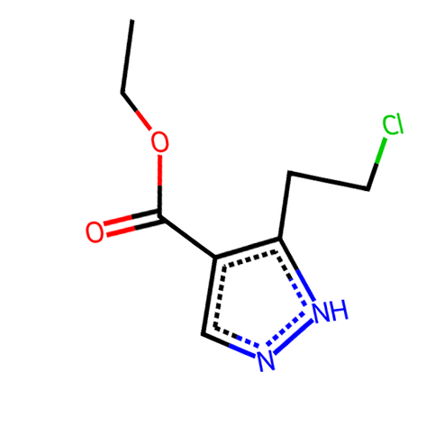 CCOC(=O)c1cn[nH]c1CCCl